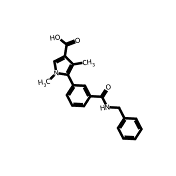 Cc1c(C(=O)O)cn(C)c1-c1cccc(C(=O)NCc2ccccc2)c1